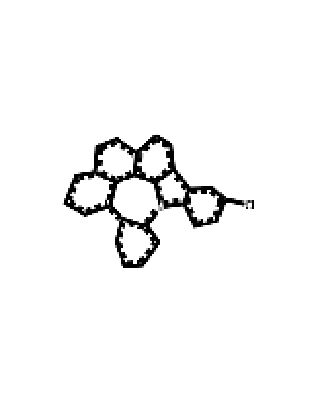 Clc1ccc2c(c1)c1ccc3ccc4cccc5c6ccccc6n2c1c3c45